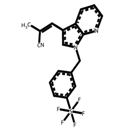 C/C(C#N)=C/c1cn(Cc2cccc(S(F)(F)(F)(F)F)c2)c2ncccc12